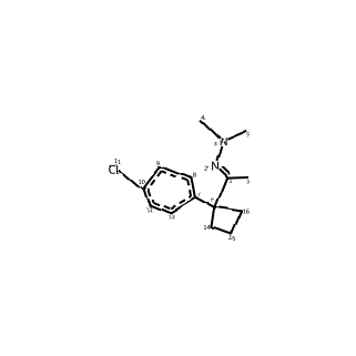 CC(=NN(C)C)C1(c2ccc(Cl)cc2)CCC1